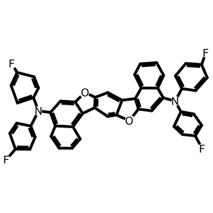 Fc1ccc(N(c2ccc(F)cc2)c2cc3oc4cc5c(cc4c3c3ccccc23)oc2cc(N(c3ccc(F)cc3)c3ccc(F)cc3)c3ccccc3c25)cc1